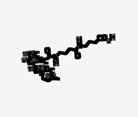 C[15N]1CC[15N]([13CH2][13CH]2[13CH2][13CH2][13CH2][15N]2[13CH2]C(=O)NCCCC(=O)NCCCC(=O)O)[13CH2][13CH2]1